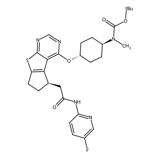 CN(C(=O)OC(C)(C)C)[C@H]1CC[C@H](Oc2ncnc3sc4c(c23)[C@@H](CC(=O)Nc2ccc(F)cn2)CC4)CC1